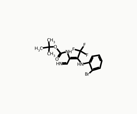 CC(C)(C)OC(=O)N/C(C=N)=C(/Nc1ccccc1Br)C(F)(F)F